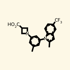 Cc1cc(N2CC(C(=O)O)C2)cc(-n2c(C)cc3cc(C(F)(F)F)ccc32)c1